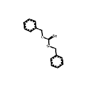 [Se]=C(OCc1ccccc1)[Se]Cc1ccccc1